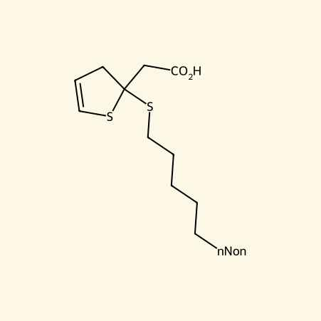 CCCCCCCCCCCCCCSC1(CC(=O)O)CC=CS1